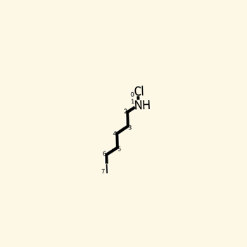 ClNCCCCCI